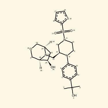 CC(C)(O)c1ccc(N2CCN(S(=O)(=O)c3cccs3)C[C@@H]2CN2[C@H]3COC[C@@H]2[C@H](O)C3)cc1